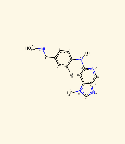 CCc1cc(CNC(=O)O)ccc1N(C)c1cc2c(cn1)ncn2C